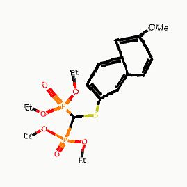 CCOP(=O)(OCC)C(Sc1ccc2cc(OC)ccc2c1)P(=O)(OCC)OCC